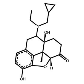 CCN(CC1CC1)C1Cc2ccc(O)c3c2[C@@]2(C)[C@@H](O3)C(=O)CC[C@@]12O